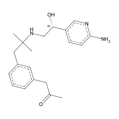 CC(=O)Cc1cccc(CC(C)(C)NC[C@H](O)c2ccc(N)nc2)c1